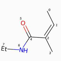 C/C=C(/C)C(=O)NCC